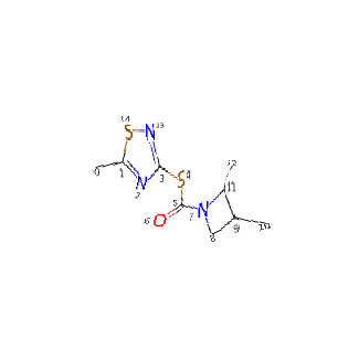 Cc1nc(SC(=O)N2CC(C)C2C)ns1